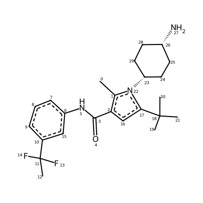 Cc1c(C(=O)Nc2cccc(C(C)(F)F)c2)cc(C(C)(C)C)n1[C@H]1CC[C@@H](N)CC1